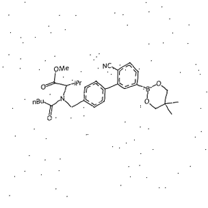 CCCCC(=O)N(Cc1ccc(-c2cc(B3OCC(C)(C)CO3)ccc2C#N)cc1)C(C(=O)OC)C(C)C